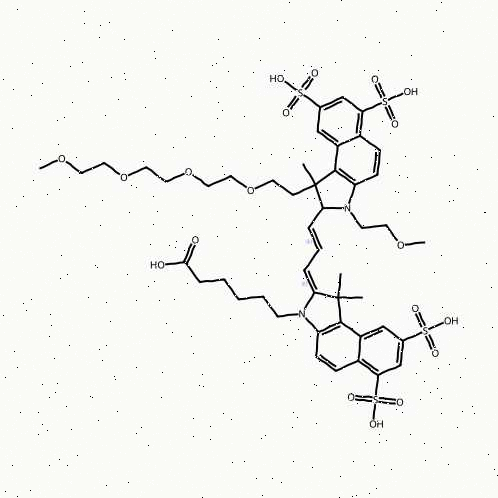 COCCOCCOCCOCCC1(C)c2c(ccc3c(S(=O)(=O)O)cc(S(=O)(=O)O)cc23)N(CCOC)C1/C=C/C=C1/N(CCCCCC(=O)O)c2ccc3c(S(=O)(=O)O)cc(S(=O)(=O)O)cc3c2C1(C)C